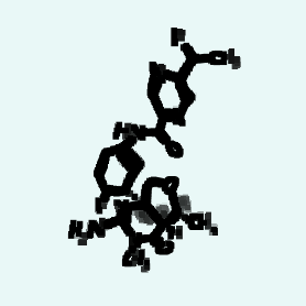 CC(F)c1cnc(C(=O)Nc2ccc(F)c([C@]34CO[C@H](C)[C@H]3C(=O)N(C)C(N)=N4)c2)cn1